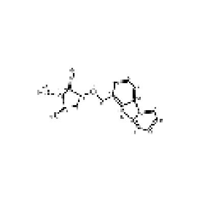 O=C1CC(OCc2cccc3c2Cc2ccccc2-3)C(=O)N1O